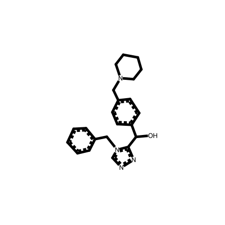 OC(c1ccc(CN2CCCCC2)cc1)c1nncn1Cc1ccccc1